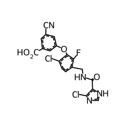 N#Cc1cc(Oc2c(Cl)ccc(CNC(=O)c3[nH]cnc3Cl)c2F)cc(C(=O)O)c1